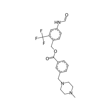 CN1CCN(Cc2cccc(C(=O)OCc3ccc(NC=O)cc3C(F)(F)F)c2)CC1